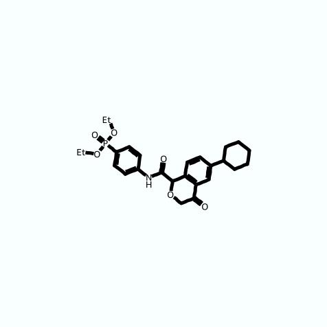 CCOP(=O)(OCC)c1ccc(NC(=O)C2OCC(=O)c3cc(C4CCCCC4)ccc32)cc1